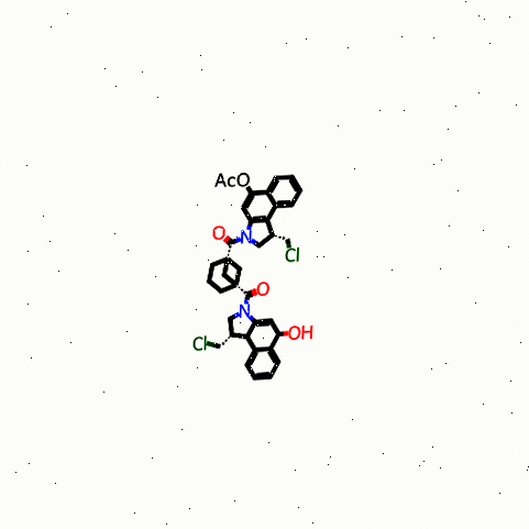 CC(=O)Oc1cc2c(c3ccccc13)[C@H](CCl)CN2C(=O)[C@]12CCC[C@](C(=O)N3C[C@@H](CCl)C4C3=CC(O)c3ccccc34)(C1)C2